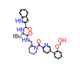 CC(C)(C)[C@H](NC(=O)c1cc2ccccc2[nH]1)C(=O)NC[C@@H]1CCCCN1C(=O)c1ccc(-c2ccccc2OCO)cn1